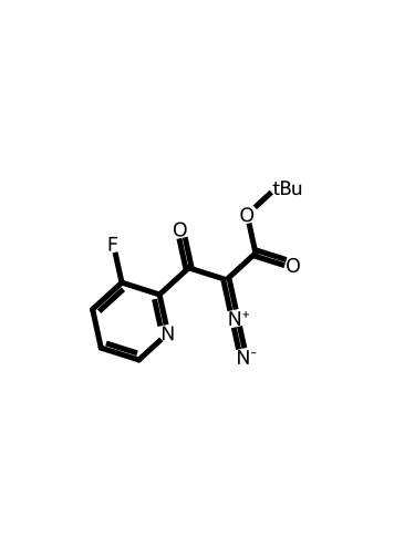 CC(C)(C)OC(=O)C(=[N+]=[N-])C(=O)c1ncccc1F